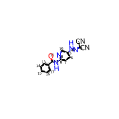 N#CC(C#N)=NNc1ccc(NC(=O)c2ccccc2)nc1